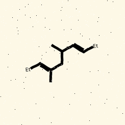 CCC=C[C](C)CC(C)=CCC